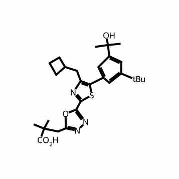 CC(C)(Cc1nnc(-c2nc(CC3CCC3)c(-c3cc(C(C)(C)C)cc(C(C)(C)O)c3)s2)o1)C(=O)O